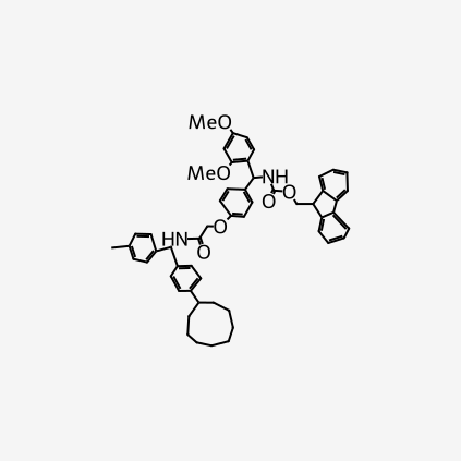 COc1ccc(C(NC(=O)OCC2c3ccccc3-c3ccccc32)c2ccc(OCC(=O)NC(c3ccc(C)cc3)c3ccc(C4CCCCCCCC4)cc3)cc2)c(OC)c1